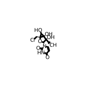 C#C[C@]1(O)[C@H](n2ccc(=O)[nH]c2=O)O[C@]2(CCl)C(O)[C@@]21O